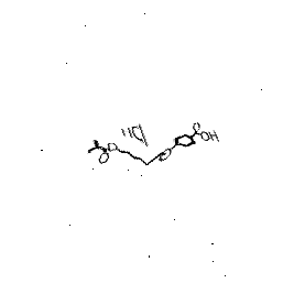 C=C(C)C(=O)OCCCCCCOc1ccc(C(=O)O)cc1.Cl